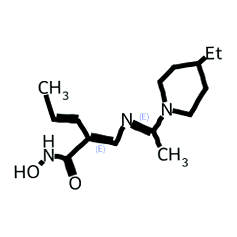 CC=C/C(=C\N=C(/C)N1CCC(CC)CC1)C(=O)NO